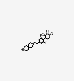 O=C1CCC(c2c(F)cc(CCN3CCC4(CCNCC4)CC3)cc2F)C(=O)N1